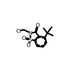 CC(C)(C)c1cccc2c1C(=O)N(CCl)S2(=O)=O